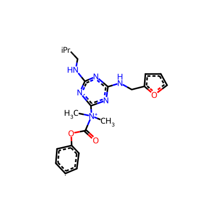 CC(C)CNc1nc(NCc2ccco2)nc([N+](C)(C)C(=O)Oc2cc[c]cc2)n1